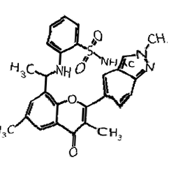 CC(=O)NS(=O)(=O)c1ccccc1NC(C)c1cc(C)cc2c(=O)c(C)c(-c3ccc4nn(C)cc4c3)oc12